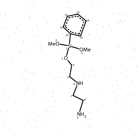 CO[Si](OC)(OCCNCCN)c1ccccc1